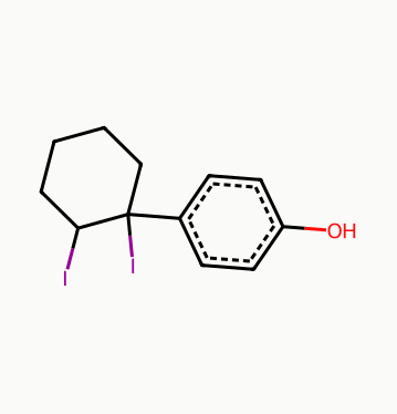 Oc1ccc(C2(I)CCCCC2I)cc1